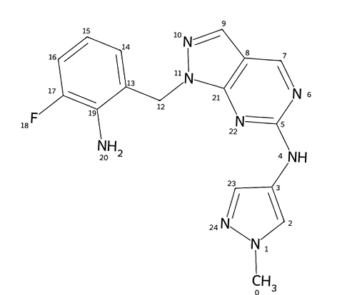 Cn1cc(Nc2ncc3cnn(Cc4cccc(F)c4N)c3n2)cn1